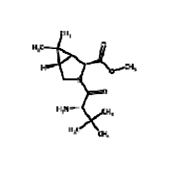 COC(=O)[C@@H]1C2[C@H](CN1C(=O)[C@@H](N)C(C)(C)C)C2(C)C